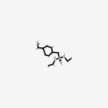 CCOP(=O)(CC1CCC(CBr)CC1)OCC